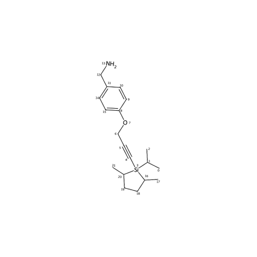 CC(C)[Si]1(C#CCOc2ccc(CN)cc2)C(C)CCC1C